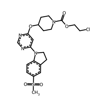 CS(=O)(=O)c1ccc2c(c1)CCN2c1cc(OC2CCN(C(=O)OCCCl)CC2)ncn1